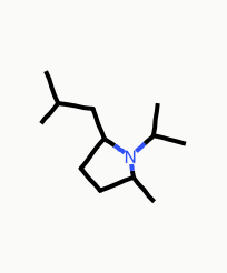 CC(C)CC1CCC(C)N1C(C)C